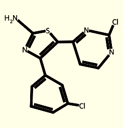 Nc1nc(-c2cccc(Cl)c2)c(-c2ccnc(Cl)n2)s1